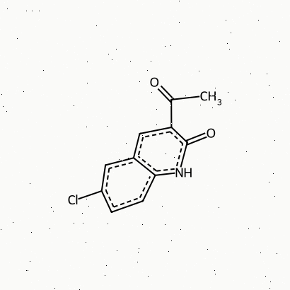 CC(=O)c1cc2cc(Cl)ccc2[nH]c1=O